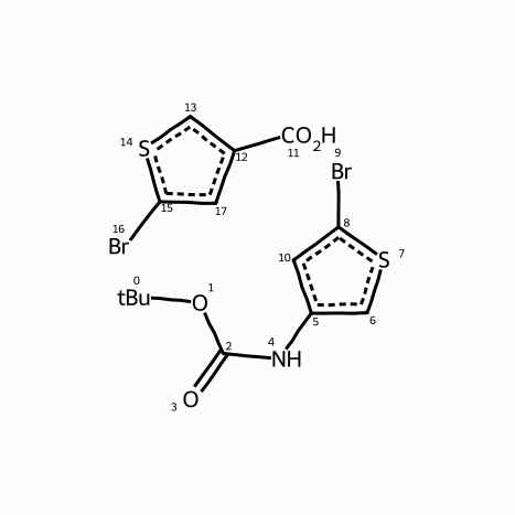 CC(C)(C)OC(=O)Nc1csc(Br)c1.O=C(O)c1csc(Br)c1